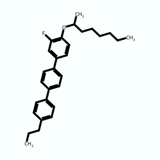 CCCCCCC(C)Oc1ccc(-c2ccc(-c3ccc(CCC)cc3)cc2)cc1F